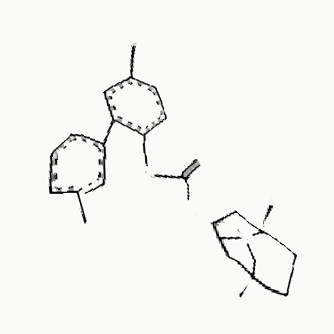 C[N+]1(C)[C@@H]2CC[C@H]1C[C@@H](OC(=O)Nc1ccc(Cl)cc1-c1cccc(Cl)c1)C2.[Br-]